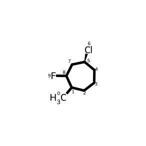 CC1CCC[C@H](Cl)CC1F